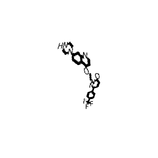 O=c1ccc(-c2ccc(C(F)(F)F)cc2)nn1CCOc1ccnc2cc(N3CCNCC3)ccc12